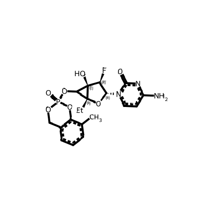 CC[C@]12O[C@@H](n3ccc(N)nc3=O)[C@H](F)[C@@]1(O)C2OP1(=O)OCc2cccc(C)c2O1